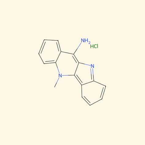 Cl.Cn1c2c3ccccc3nc-2c(N)c2ccccc21